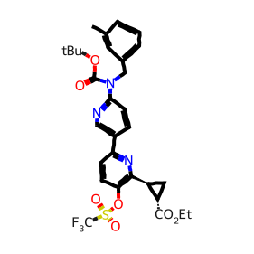 CCOC(=O)[C@H]1C[C@@H]1c1nc(-c2ccc(N(Cc3cccc(C)c3)C(=O)OC(C)(C)C)nc2)ccc1OS(=O)(=O)C(F)(F)F